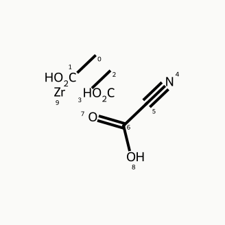 CC(=O)O.CC(=O)O.N#CC(=O)O.[Zr]